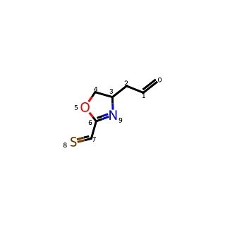 C=CCC1COC(C=S)=N1